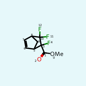 COC(=O)C1(F)C2C=CC(C2)C1(F)F